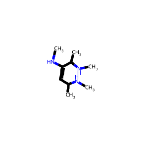 CN/C(=C/C(C)NC)C(C)NC